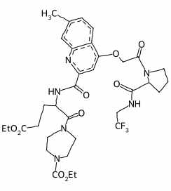 CCOC(=O)CCC(NC(=O)c1cc(OCC(=O)N2CCCC2C(=O)NCC(F)(F)F)c2ccc(C)cc2n1)C(=O)N1CCN(C(=O)OCC)CC1